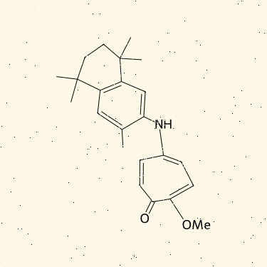 COc1ccc(Nc2cc3c(cc2C)C(C)(C)CCC3(C)C)ccc1=O